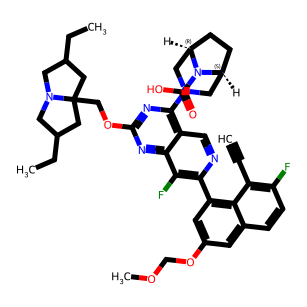 C#Cc1c(F)ccc2cc(OCOC)cc(-c3ncc4c(N5C[C@H]6CC[C@@H](C5)N6C(=O)O)nc(OCC56CC(CC)CN5CC(CC)C6)nc4c3F)c12